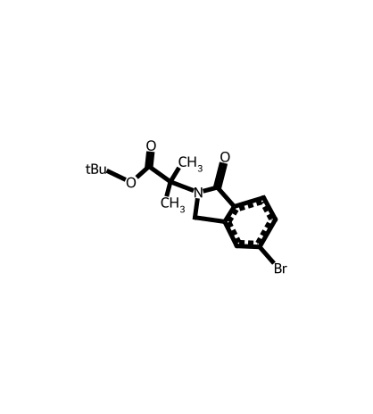 CC(C)(C)OC(=O)C(C)(C)N1Cc2cc(Br)ccc2C1=O